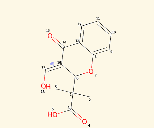 CC(C)(C(=O)O)C1Oc2ccccc2C(=O)/C1=C/O